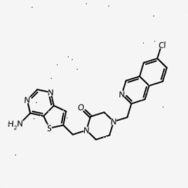 Nc1ncnc2cc(CN3CCN(Cc4cc5ccc(Cl)cc5cn4)CC3=O)sc12